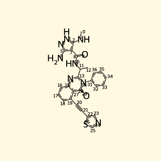 CNc1[nH]nc(N)c1C(=O)NC(C)c1nc2cccc(C#Cc3cncs3)c2c(=O)n1-c1ccccc1